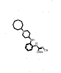 CO/C(=N\C#N)Nc1ccccc1NC1CCN(C2CCCCCCC2)CC1